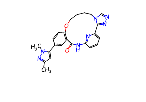 Cc1cc(-c2ccc3c(c2)C(=O)Nc2cccc(n2)-c2nncn2CCCCO3)n(C)n1